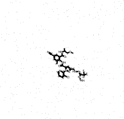 COCC(C)NC(=O)c1cc(C#N)cc(C)c1NC(=O)c1cc(CN/N=C(\N=N)C(F)(F)F)nn1-c1ncccc1Cl